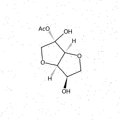 CC(=O)O[C@@]1(O)CO[C@@H]2[C@H](O)CO[C@@H]21